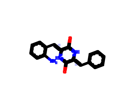 Nc1ccccc1/C=c1\[nH]c(=O)/c(=C/c2ccccc2)[nH]c1=O